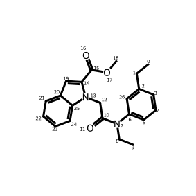 CCc1cccc(N(CC)C(=O)Cn2c(C(=O)OC)cc3ccccc32)c1